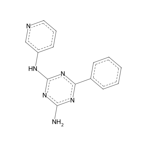 Nc1nc(Nc2cccnc2)nc(-c2ccccc2)n1